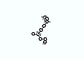 Cc1ccc2ccc3c(C)cc(-c4ccc(-c5ccc(-c6nc(-c7ccccc7)cc(-c7cccc(-c8cccc9ccncc89)c7)n6)cc5)cc4)nc3c2n1